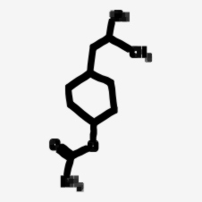 CC(CC1CCC(OC(N)=O)CC1)C(C)(C)C